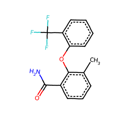 Cc1cccc(C(N)=O)c1Oc1ccccc1C(F)(F)F